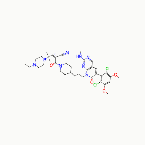 CCN1CCN(C(C)(C)/C=C(/C#N)C(=O)N2CCC(CCCn3c(=O)c(-c4c(Cl)c(OC)cc(OC)c4Cl)cc4cnc(NC)nc43)CC2)CC1